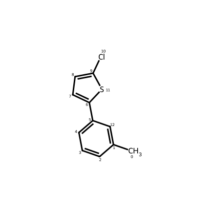 Cc1cccc(-c2ccc(Cl)s2)c1